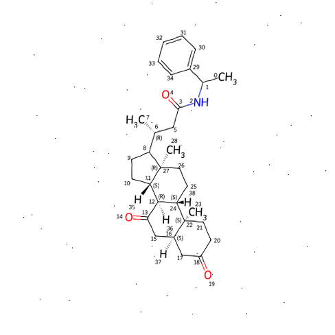 CC(NC(=O)C[C@@H](C)C1CC[C@H]2[C@@H]3C(=O)C[C@@H]4CC(=O)CC[C@]4(C)[C@H]3CC[C@]12C)c1ccccc1